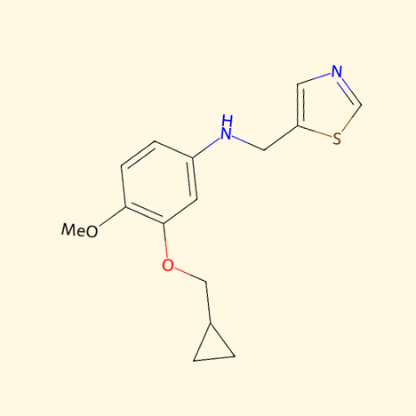 COc1ccc(NCc2cncs2)cc1OCC1CC1